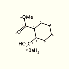 COC(=O)C1CCCCC1C(=O)O.[BaH2]